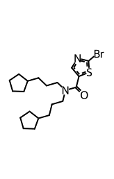 O=C(c1cnc(Br)s1)N(CCCC1CCCC1)CCCC1CCCC1